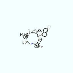 CC[C@H]1C/C=C/[C@H](OC)[C@@H]2CC[C@H]2CN2C[C@@]3(CCCc4cc(Cl)ccc43)COc3ccc(cc32)C(=O)N=[S@](N)(=O)C1